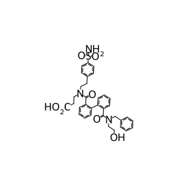 NS(=O)(=O)c1ccc(CCN(CCC(=O)O)C(=O)c2ccccc2-c2ccccc2C(=O)N(CCO)Cc2ccccc2)cc1